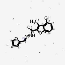 Cc1c(C(=O)N/N=C/c2ccco2)oc2cccc(O)c12